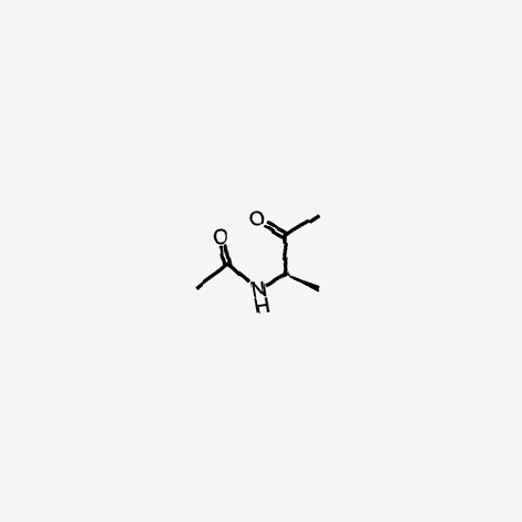 CC(=O)N[C@H](C)C(C)=O